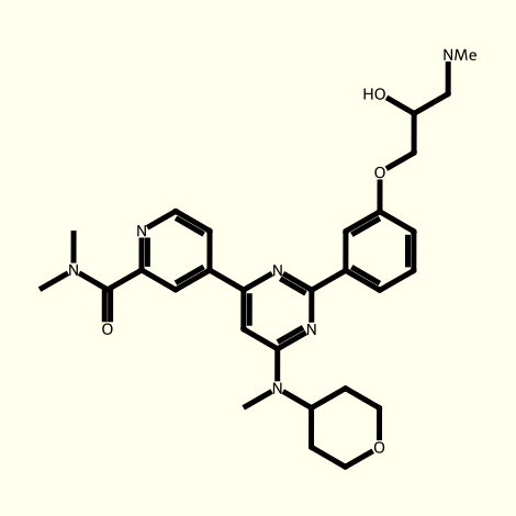 CNCC(O)COc1cccc(-c2nc(-c3ccnc(C(=O)N(C)C)c3)cc(N(C)C3CCOCC3)n2)c1